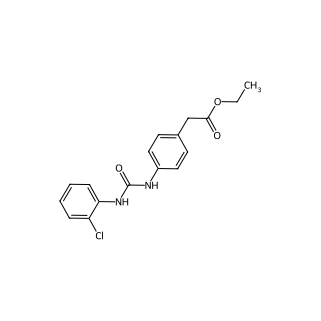 CCOC(=O)Cc1ccc(NC(=O)Nc2ccccc2Cl)cc1